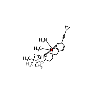 CN1C(=O)C2(N=C1N)c1cc(C#CC3CC3)ccc1CC21CCC(O[Si](C)(C)C(C)(C)C)CC1